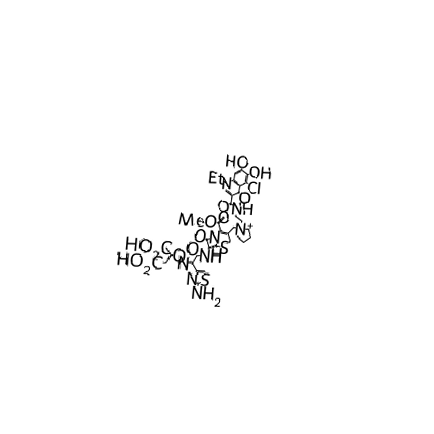 CCn1cc(C(=O)NCC[N+]2(CC3=C(C(=O)OC)N4C(=O)[C@@H](NC(=O)/C(=N\O[C@@H](CC(=O)O)C(=O)O)c5csc(N)n5)[C@H]4SC3)CCCC2)c(=O)c2c(Cl)c(O)c(O)cc21